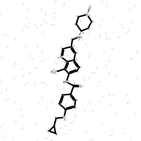 Cc1c(NC(=O)c2ccc(OCC3CC3)cc2)ccc2cc(CN[C@H]3CC[S@@+]([O-])CC3)cnc12